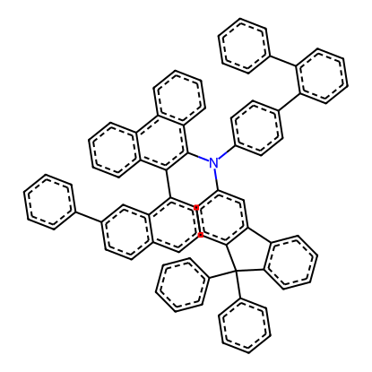 c1ccc(-c2ccc3cccc(-c4c(N(c5ccc(-c6ccccc6-c6ccccc6)cc5)c5ccc6c(c5)-c5ccccc5C6(c5ccccc5)c5ccccc5)c5ccccc5c5ccccc45)c3c2)cc1